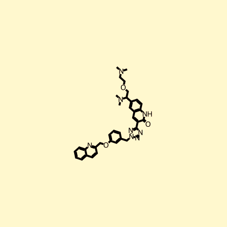 CN(C)CCOCC(c1ccc2[nH]c(=O)c(-c3nnn(Cc4cccc(OCc5ccc6ccccc6n5)c4)n3)cc2c1)N(C)C